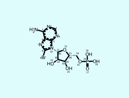 Nc1ncnc2c1nc(Br)n2[C@@H]1O[C@H](COP(=O)(O)O)[C@@H](O)[C@H]1O